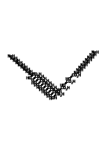 O=C(O)O.O=C(O)O.O=C(O)O.O=C(O)O.O=C(O)O.O=C(O)O.O=C(O)O.O=C(O)O.O=C(O)O.O=C(O)O.O=C(O)O.O=C(O)O.O=C(O)O.[NaH].[NaH].[NaH].[NaH].[NaH].[NaH].[NaH].[NaH].[NaH].[NaH].[NaH].[NaH].[NaH].[NaH].[NaH].[NaH].[NaH].[NaH]